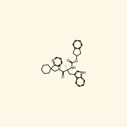 C[C@@](Cc1c[nH]c2ccccc12)(NC(=O)OC1Cc2ccccc2C1)C(=O)NCC1(c2ccccn2)CCCCC1